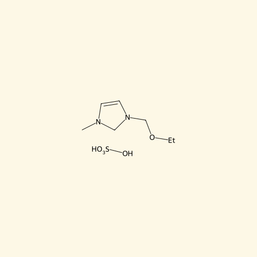 CCOCN1C=CN(C)C1.O=S(=O)(O)O